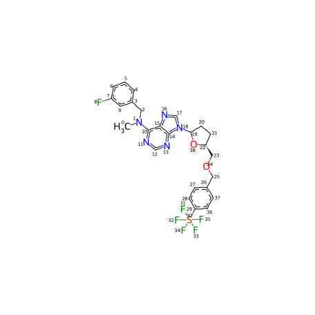 CN(Cc1cccc(F)c1)c1ncnc2c1ncn2C1CC[C@@H](COCc2ccc(S(F)(F)(F)(F)F)cc2)O1